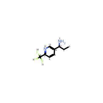 CCC(N)c1ccc(C(F)(F)F)nc1